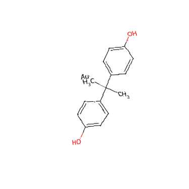 CC(C)(c1ccc(O)cc1)c1ccc(O)cc1.[Au]